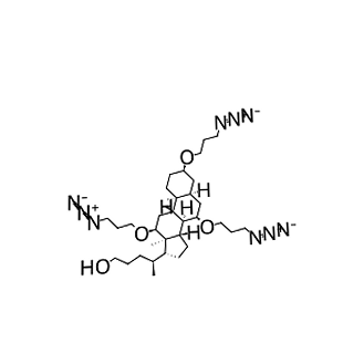 C[C@@H](CCCO)[C@H]1CC[C@H]2[C@@H]3[C@H](OCCCN=[N+]=[N-])C[C@@H]4C[C@H](OCCCN=[N+]=[N-])CC[C@]4(C)[C@H]3C[C@H](OCCCN=[N+]=[N-])[C@]12C